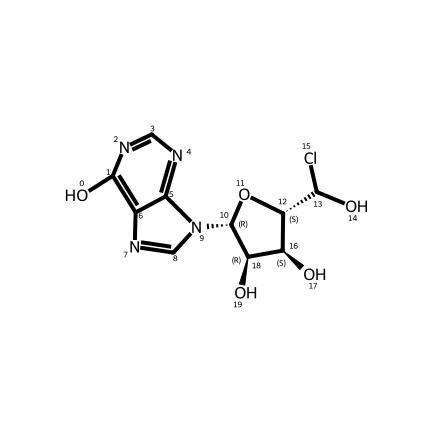 Oc1ncnc2c1ncn2[C@@H]1O[C@H](C(O)Cl)[C@@H](O)[C@H]1O